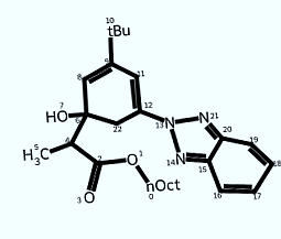 CCCCCCCCOC(=O)C(C)C1(O)C=C(C(C)(C)C)C=C(n2nc3ccccc3n2)C1